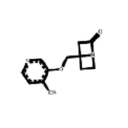 N#Cc1ccncc1OCC12CCN1C(=O)C2